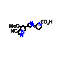 COc1cc(-c2cnn([C@@H]3CCCN(C(=O)O)C3)c2)cn2ncc(C#N)c12